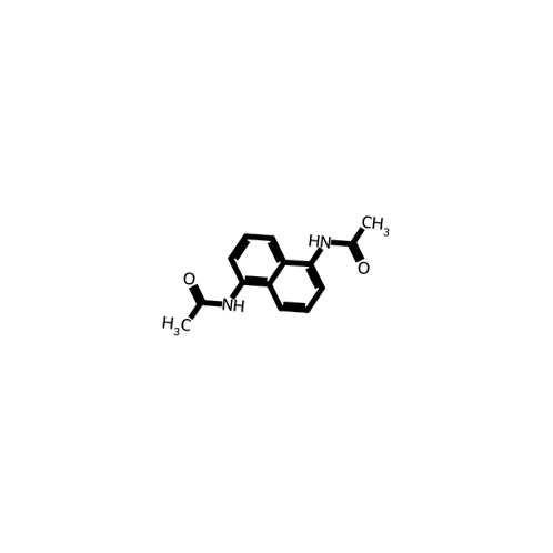 CC(=O)Nc1cccc2c(NC(C)=O)cccc12